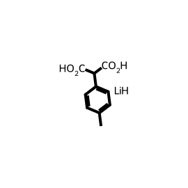 Cc1ccc(C(C(=O)O)C(=O)O)cc1.[LiH]